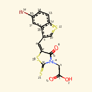 O=C(O)CN1C(=O)C(=Cc2csc3ccc(Br)cc23)SC1=S